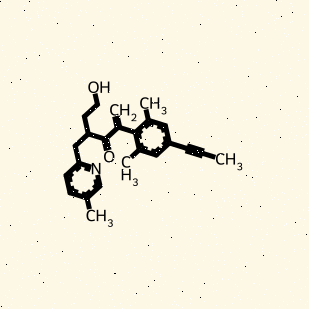 C=C(C(=O)C(CCO)Cc1ccc(C)cn1)c1c(C)cc(C#CC)cc1C